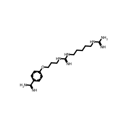 N=C(N)NCCCCCNC(=N)NCCCOc1ccc(C(=N)N)cc1